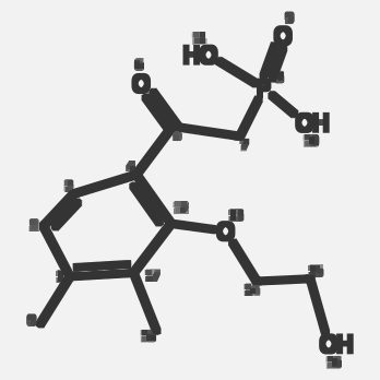 Cc1ccc(C(=O)CP(=O)(O)O)c(OCCO)c1C